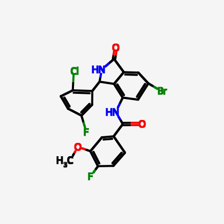 COc1cc(C(=O)Nc2cc(Br)cc3c2C(c2cc(F)ccc2Cl)NC3=O)ccc1F